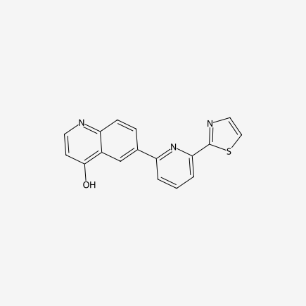 Oc1ccnc2ccc(-c3cccc(-c4nccs4)n3)cc12